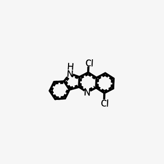 Clc1cccc2c(Cl)c3[nH]c4ccccc4c3nc12